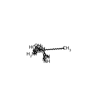 CCCCCCCCCCCCCCCCCCC[C@H](COP(=O)(O)OC[C@@]1(C)O[C@@H](c2ccc3c(N)ncnn23)[C@H](O)[C@@H]1O)OCc1ccc(N/C=N\C=N)c(C#N)c1